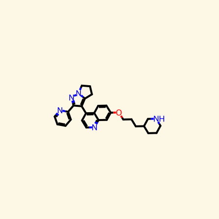 c1ccc(-c2nn3c(c2-c2ccnc4cc(OCCCC5CCCNC5)ccc24)CCC3)nc1